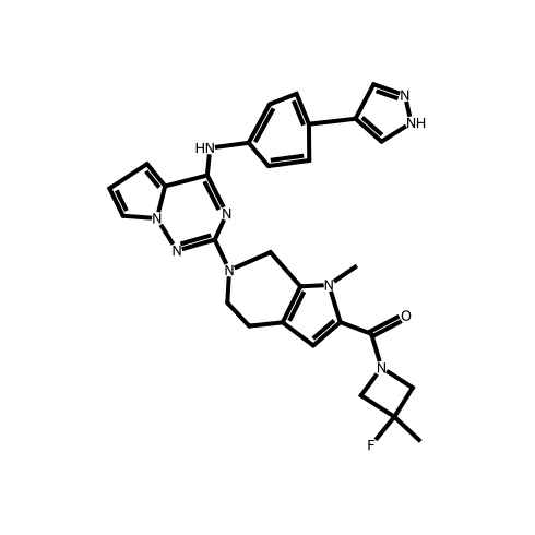 Cn1c(C(=O)N2CC(C)(F)C2)cc2c1CN(c1nc(Nc3ccc(-c4cn[nH]c4)cc3)c3cccn3n1)CC2